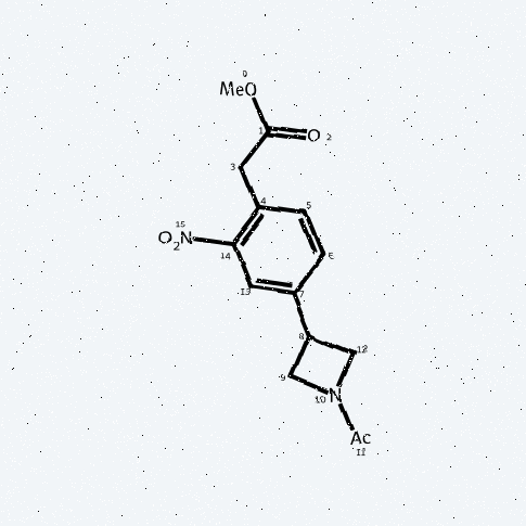 COC(=O)Cc1ccc(C2CN(C(C)=O)C2)cc1[N+](=O)[O-]